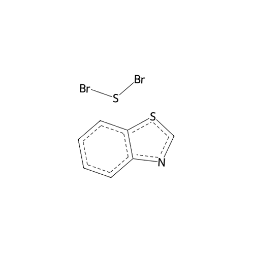 BrSBr.c1ccc2scnc2c1